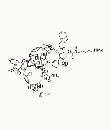 CC[C@H](CC(C)C)C(=O)N[C@H]1C(=O)C[C@@H](CC(N)=O)C(=O)N[C@H]2C(=O)C[C@H]3C(=O)N[C@H](C(=O)N[C@H](C(=O)CC4C5CC6CC(C5)CC4C6)c4cc(OC(=O)NCCCCCNC)cc(O)c4-c4cc3ccc4O)[C@H](O)c3ccc(c(Cl)c3)Oc3cc2cc(c3O[C@@H]2O[C@H](CO)[C@@H](O)[C@H](O)[C@H]2O[C@H]2C[C@](C)(N)[C@H](O)[C@H](C)O2)Oc2ccc(cc2Cl)[C@H]1O